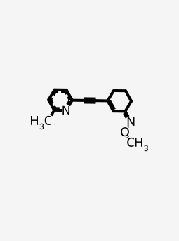 CON=C1C=C(C#Cc2cccc(C)n2)CCC1